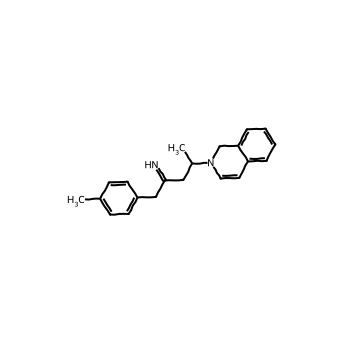 Cc1ccc(CC(=N)CC(C)N2C=Cc3ccccc3C2)cc1